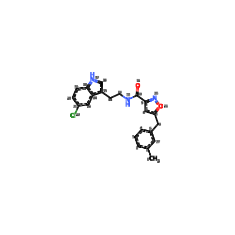 Cc1cccc(Cc2cc(C(=O)NCCc3c[nH]c4ccc(Cl)cc34)no2)c1